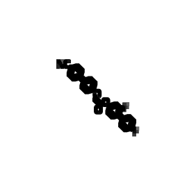 N#Cc1ccc(-c2ccc(OCC(=O)Oc3ccc(-c4ccc(F)cc4)c(F)c3)cc2)cc1